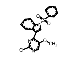 COc1cnc(Cl)nc1-c1cn(S(=O)(=O)c2ccccc2)c2ccccc12